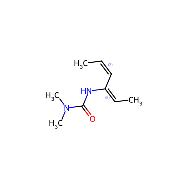 C/C=C\C(=C/C)NC(=O)N(C)C